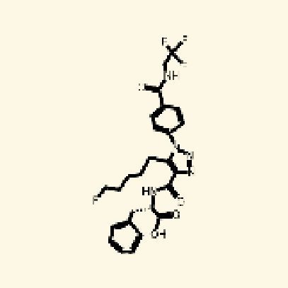 O=C(NCC(F)(F)F)c1ccc(-n2nnc(C(=O)N[C@@H](Cc3ccccc3)C(=O)O)c2CCCCCF)cc1